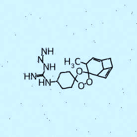 CC1C=C2CC3=CC(C23)C12OOC1(CCC(NC(=N)NN=N)CC1)O2